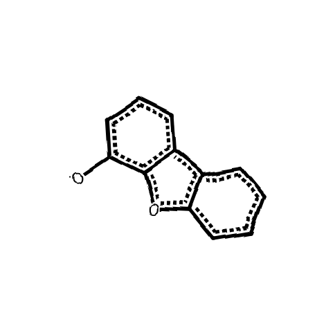 [O]c1cccc2c1oc1ccccc12